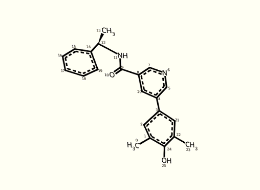 Cc1cc(-c2cncc(C(=O)N[C@H](C)c3ccccc3)c2)cc(C)c1O